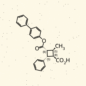 C[C@H]1[C@@H](C(=O)O)[C@H](c2ccccc2)[C@@H]1C(=O)Oc1ccc(-c2ccccc2)cc1